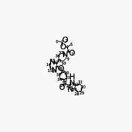 CC(=O)OC(C)C(=O)N1CCC(c2nccnc2Oc2ccc(C(=O)c3nc4ccccc4[nH]3)cc2)CC1